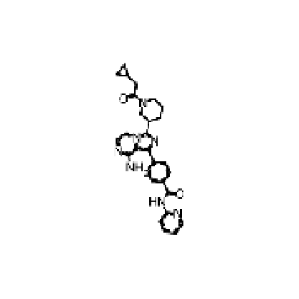 Nc1nccn2c([C@@H]3CCCN(C(=O)CC4CC4)C3)nc(-c3ccc(C(=O)Nc4ccccn4)cc3)c12